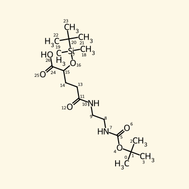 CC(C)(C)OC(=O)NCCNC(=O)CCC(O[Si](C)(C)C(C)(C)C)C(=O)O